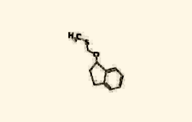 CSCOC1CCc2ccccc21